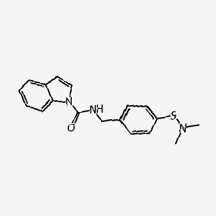 CN(C)Sc1ccc(CNC(=O)n2ccc3ccccc32)cc1